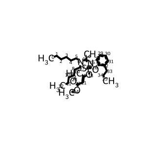 CCCCCCN(CCCCCC)C(C)=NP(=S)(OC(C)=CC(=O)OC)Oc1ccccc1CCC